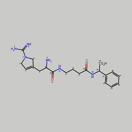 N=C(N)N1CC=C(CC(N)C(=O)NCCCC(=O)NC(C(=O)O)c2ccccc2)C1